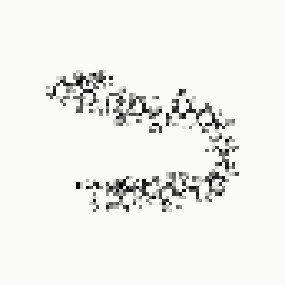 CCCCCCCCC1(CCCCCCCC)c2ccccc2-c2ccc(-c3ccc4c(c3)C(C)(C)c3cc(-c5ccc6oc7ccc(-c8ccc(N(C)c9ccc(-c%10cccc(-c%11cccc(-c%12ccc%13c(c%12)C(C)(C)c%12cc(-c%14ccc%15c(c%14)C(CCCCCCCC)(CCCCCCCC)c%14ccccc%14-%15)ccc%12-%13)c%11C)c%10C)cc9)cc8)cc7c6c5)ccc3-4)cc21